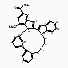 COC(=O)c1cc(OC)c2c(c1)nc1n2Cc2cccc(c2)-c2ccccc2CCCCn2c-1cc1ccccc12